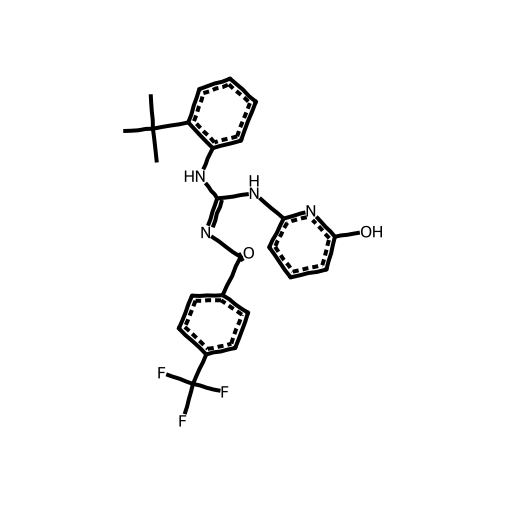 CC(C)(C)c1ccccc1N/C(=N/C(=O)c1ccc(C(F)(F)F)cc1)Nc1cccc(O)n1